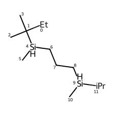 CCC(C)(C)[SiH](C)CCC[SiH](C)C(C)C